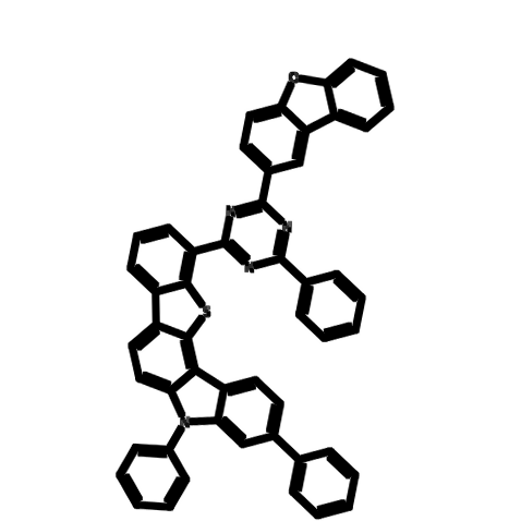 c1ccc(-c2ccc3c4c5sc6c(-c7nc(-c8ccccc8)nc(-c8ccc9oc%10ccccc%10c9c8)n7)cccc6c5ccc4n(-c4ccccc4)c3c2)cc1